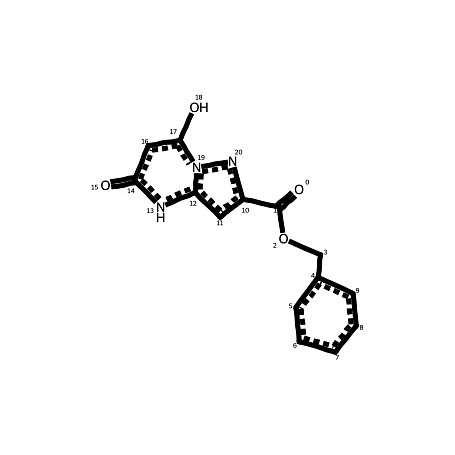 O=C(OCc1ccccc1)c1cc2[nH]c(=O)cc(O)n2n1